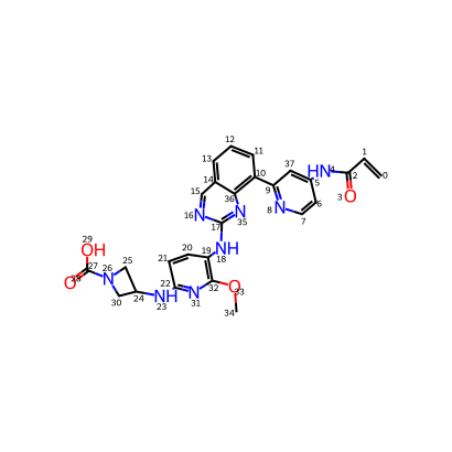 C=CC(=O)Nc1ccnc(-c2cccc3cnc(Nc4ccc(NC5CN(C(=O)O)C5)nc4OC)nc23)c1